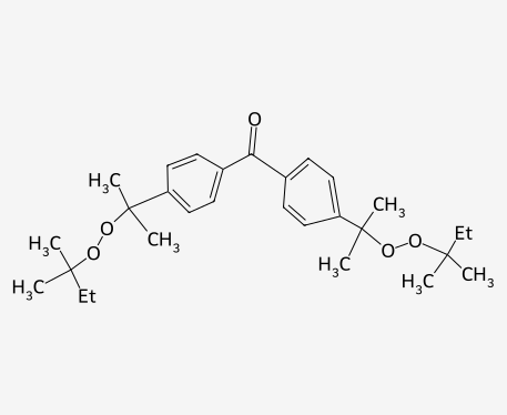 CCC(C)(C)OOC(C)(C)c1ccc(C(=O)c2ccc(C(C)(C)OOC(C)(C)CC)cc2)cc1